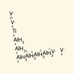 [AlH3].[AlH3].[AlH3].[AlH3].[AlH3].[AlH3].[Ti].[V].[V].[V].[V]